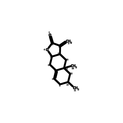 C=C1C(=O)OC2CC3=CCC(C)CC3(C)CC12